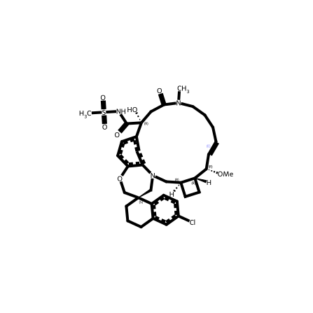 CO[C@H]1/C=C/CCCN(C)C(=O)C[C@](O)(C(=O)NS(C)(=O)=O)c2ccc3c(c2)N(C[C@@H]2CC[C@H]21)C[C@@]1(CCCc2cc(Cl)ccc21)CO3